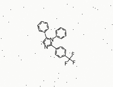 FC(F)(F)c1ccc(-c2ncc(-c3ccccc3)n2-c2ccccc2)cc1